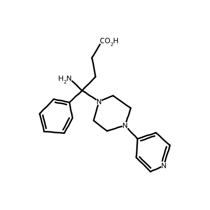 NC(CCC(=O)O)(c1ccccc1)N1CCN(c2ccncc2)CC1